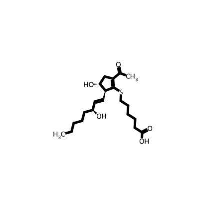 CCCCC[C@H](O)/C=C/[C@@H]1C(SCCCCCC(=O)O)=C(C(C)=O)C[C@H]1O